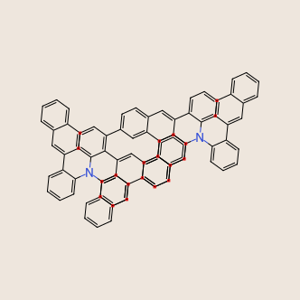 c1ccc(N(c2ccc3ccccc3c2)c2ccccc2-c2cc3ccc(-c4cccc(N(c5ccccc5-c5ccc6ccccc6c5)c5cccc6ccccc56)c4-c4cc5ccccc5c5ccccc45)cc3c3ccccc23)c(-c2ccc3ccccc3c2)c1